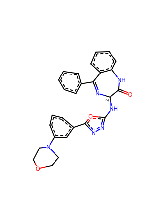 O=C1Nc2ccccc2C(c2ccccc2)=N[C@@H]1Nc1nnc(-c2cccc(N3CCOCC3)c2)o1